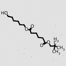 CC(C)(C)COC(=O)CCCCC(=O)OCCCCCCO